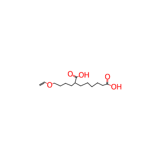 C=COCCCCC(CCCCCC(=O)O)C(=O)O